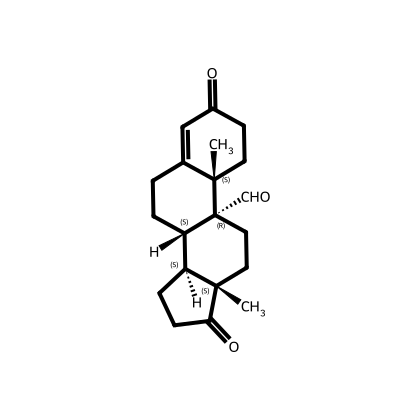 C[C@]12CCC(=O)C=C1CC[C@H]1[C@@H]3CCC(=O)[C@@]3(C)CC[C@@]12C=O